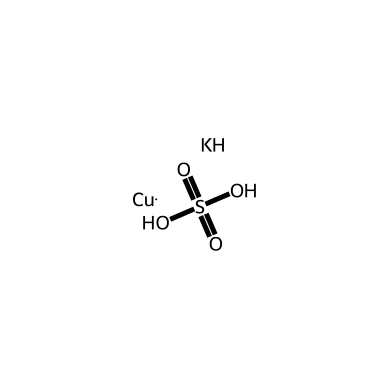 O=S(=O)(O)O.[Cu].[KH]